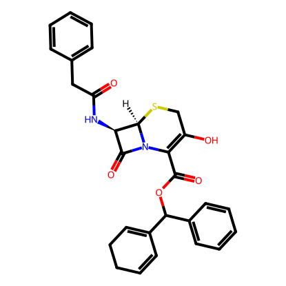 O=C(Cc1ccccc1)N[C@@H]1C(=O)N2C(C(=O)OC(C3=CCCC=C3)c3ccccc3)=C(O)CS[C@H]12